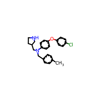 Cc1ccc(CN(CC2CCNC2)c2ccc(Oc3ccc(Cl)cc3)cc2)cc1